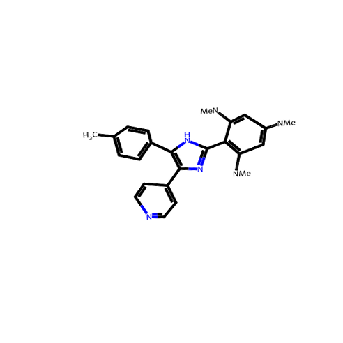 CNc1cc(NC)c(-c2nc(-c3ccncc3)c(-c3ccc(C)cc3)[nH]2)c(NC)c1